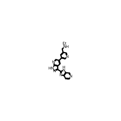 CCNCc1cncc(-c2cnc3[nH]nc(-c4nc5ccncc5[nH]4)c3c2)c1